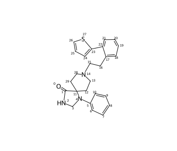 O=C1NCN(c2ccccc2)C12CCN(CCc1ccccc1-c1cccs1)CC2